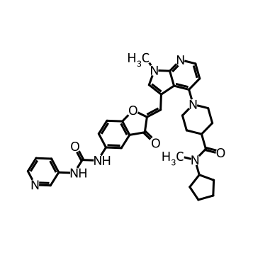 CN(C(=O)C1CCN(c2ccnc3c2c(/C=C2\Oc4ccc(NC(=O)Nc5cccnc5)cc4C2=O)cn3C)CC1)C1CCCC1